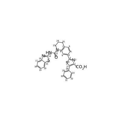 O=C(O)c1nc(-c2ccc3c(c2)N(C(=O)Nc2nc4ccccc4s2)CCC3)sc1-c1ccccc1